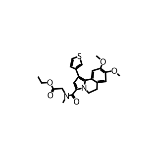 CCOC(=O)CN(C)C(=O)c1cc(-c2ccsc2)c2n1CCc1cc(OC)c(OC)cc1-2